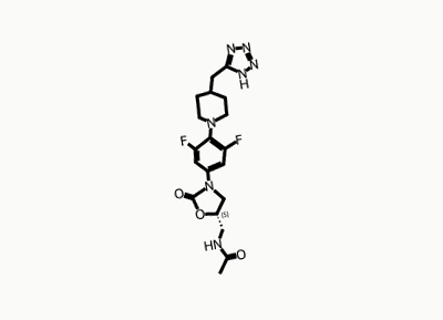 CC(=O)NC[C@H]1CN(c2cc(F)c(N3CCC(Cc4nnn[nH]4)CC3)c(F)c2)C(=O)O1